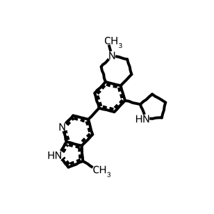 Cc1c[nH]c2ncc(-c3cc4c(c(C5CCCN5)c3)CCN(C)C4)cc12